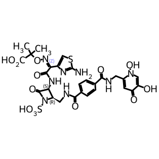 CC(C)(O/N=C(\C(=O)N[C@@H]1C(=O)N(S(=O)(=O)O)[C@@H]1CNC(=O)c1ccc(C(=O)NCc2cc(=O)c(O)cn2O)cc1)c1csc(N)n1)C(=O)O